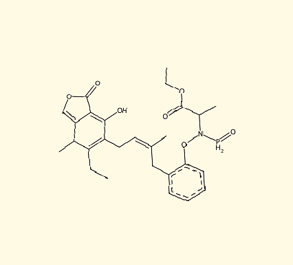 CCOC(=O)C(C)N(Oc1ccccc1CC(C)=CCC1=C(CC)C(C)C2=COC(=O)C2=C1O)[PH2]=O